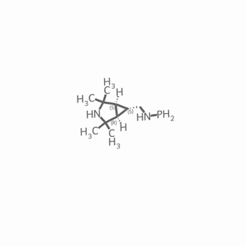 CC1(C)NC(C)(C)[C@H]2[C@H](CNP)[C@H]21